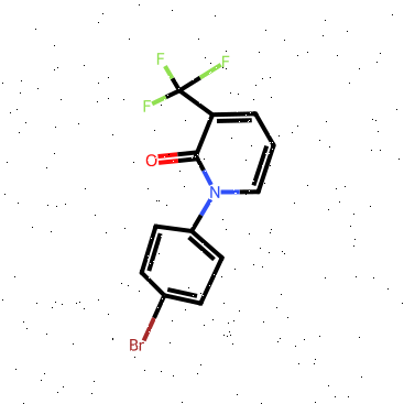 O=c1c(C(F)(F)F)cccn1-c1ccc(Br)cc1